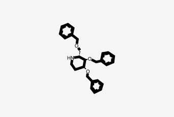 c1ccc(COC[C@H]2NCC[C@@H](OCc3ccccc3)[C@H]2OCc2ccccc2)cc1